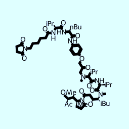 CCCC[C@H](NC(=O)[C@@H](NC(=O)CCCCCN1C(=O)CCC1=O)C(C)C)C(=O)Nc1ccc(OCC(=O)CN(C)C(C(=O)N[C@H](C(=O)N(C)[C@@H]([C@@H](C)CC)[C@@H](CC(=O)N2CCC[C@H]2[C@H](OC)[C@@H](C)C(C)=O)OC)C(C)C)C(C)C)cc1